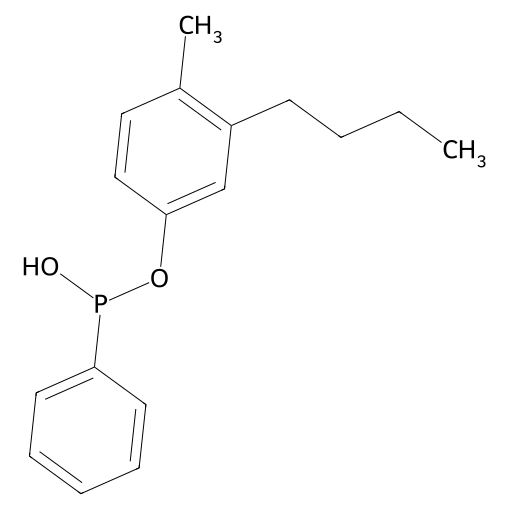 CCCCc1cc(OP(O)c2ccccc2)ccc1C